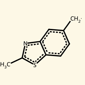 [CH2]c1ccc2sc(C)nc2c1